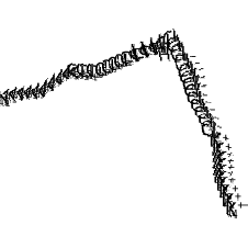 Cl.Cl.Cl.Cl.Cl.[Cl-].[Cl-].[Cl-].[Cl-].[Cl-].[Cl-].[Cl-].[Cl-].[Cl-].[Cl-].[Cl-].[Cl-].[Cl-].[Cl-].[Cl-].[Cl-].[Cl-].[Cl-].[Cl-].[Cl-].[K+].[K+].[K+].[K+].[K+].[K+].[K+].[K+].[K+].[K+].[K+].[K+].[K+].[K+].[K+].[K+].[K+].[K+].[K+].[K+]